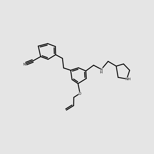 C=CCOc1cc(CCc2cccc(C#N)c2)cc(CNCC2CCNC2)c1